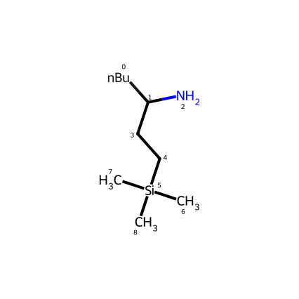 CCCCC(N)CC[Si](C)(C)C